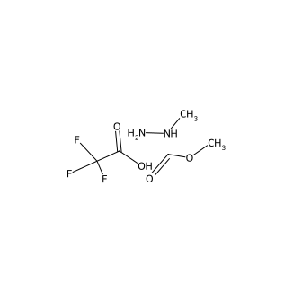 CNN.COC=O.O=C(O)C(F)(F)F